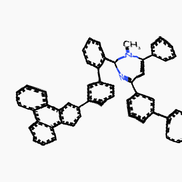 CN1C(c2ccccc2)=CC(c2cccc(-c3ccccc3)c2)=NC1c1ccccc1-c1cccc(-c2ccc3c4ccccc4c4ccccc4c3c2)c1